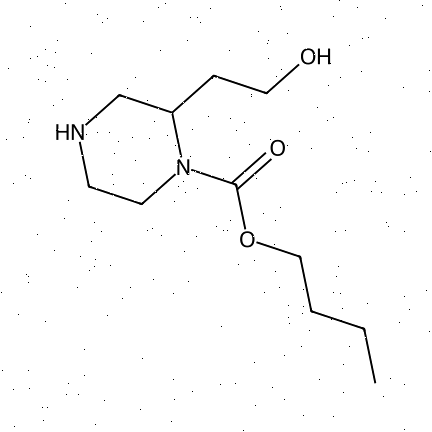 CCCCOC(=O)N1CCNCC1CCO